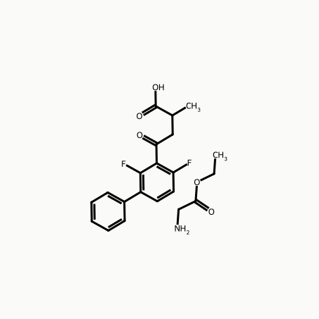 CC(CC(=O)c1c(F)ccc(-c2ccccc2)c1F)C(=O)O.CCOC(=O)CN